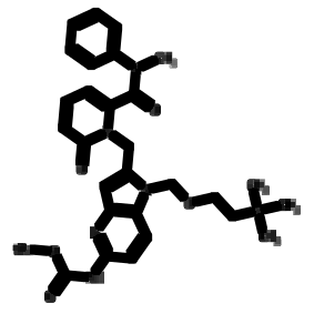 CN(C(=O)c1cccc(=O)n1Cc1cc2nc(NC(=O)OC(C)(C)C)ccc2n1COCC[Si](C)(C)C)c1ccccc1